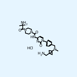 CN(Cc1ccc(-n2ccc(NC(=O)N3CCN(C(=O)C(C)(C)N)CC3)nc2=O)cc1)C12CC(CN)(C1)C2.Cl